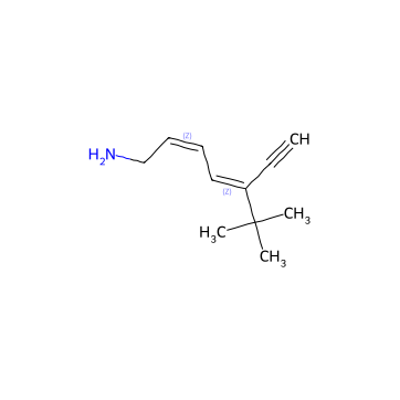 C#C/C(=C\C=C/CN)C(C)(C)C